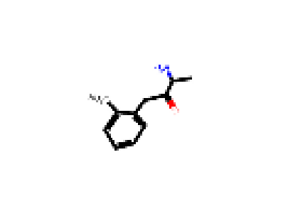 CC(N)C(=O)Cc1ccccc1C(=O)O